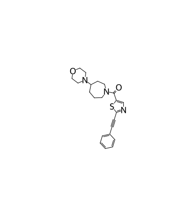 O=C(c1cnc(C#Cc2ccccc2)s1)N1CCCC(N2CCOCC2)CC1